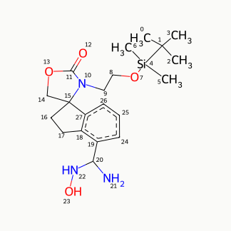 CC(C)(C)[Si](C)(C)OCCN1C(=O)OCC12CCc1c(C(N)NO)cccc12